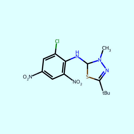 CN1N=C(C(C)(C)C)SC1Nc1c(Cl)cc([N+](=O)[O-])cc1[N+](=O)[O-]